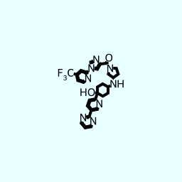 O=C(c1cn(-c2cc(C(F)(F)F)ccn2)cn1)N1CC[C@H](NC2CCC(O)(c3ccc(-c4ncccn4)cn3)CC2)C1